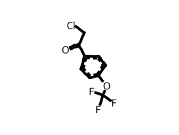 O=C(CCl)c1ccc(OC(F)(F)F)cc1